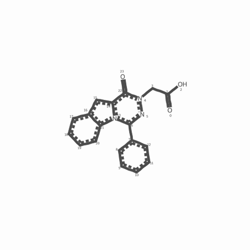 O=C(O)Cn1nc(-c2ccccc2)n2c(cc3ccccc32)c1=O